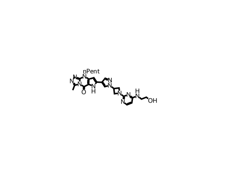 CCCCCn1c2cc(-c3cnn(C4CN(c5nccc(NCCO)n5)C4)c3)[nH]c2c(=O)n2c(C)nnc12